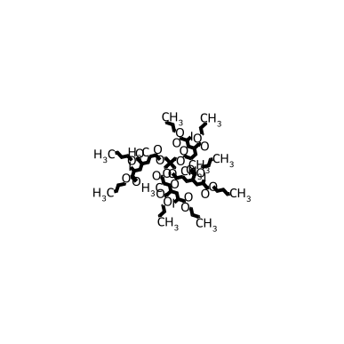 CCCCOC(=O)C(I)CC(CC(C)C(=O)OCC(COC(=O)C(C)CC(CC(I)C(=O)OCCCC)C(=O)OCCCC)(COC(=O)C(C)CC(CC(I)C(=O)OCCCC)C(=O)OCCCC)COC(=O)C(C)CC(CC(I)C(=O)OCCCC)C(=O)OCCCC)C(=O)OCCCC